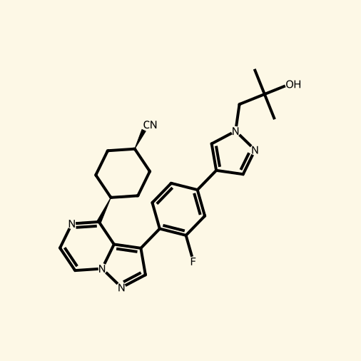 CC(C)(O)Cn1cc(-c2ccc(-c3cnn4ccnc([C@H]5CC[C@@H](C#N)CC5)c34)c(F)c2)cn1